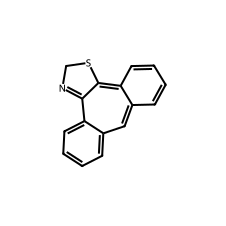 C1=c2ccccc2=C2SCN=C2c2ccccc21